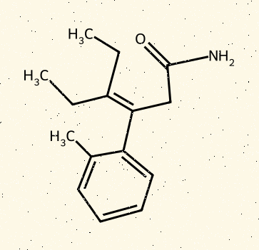 CCC(CC)=C(CC(N)=O)c1ccccc1C